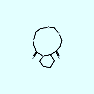 O=C1CCCCCCCCCC(=O)N2CCCCC12